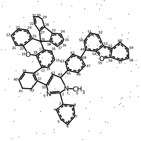 CN1C(c2ccccc2)=NC(C2=C(c3cccc4c3Oc3ccccc3C43C4=C(CCC=C4)c4ccccc43)C=CCC2)=CC1c1ccc(-c2cccc3c2oc2ccccc23)cc1